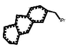 CC(C)Cc1c[c]c2cc3ccccc3cc2c1